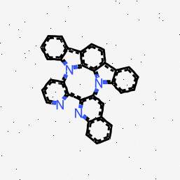 c1ccc2nc3c4ncccc4n4c5ccccc5c5ccc6c7ccccc7n(c3cc2c1)c6c54